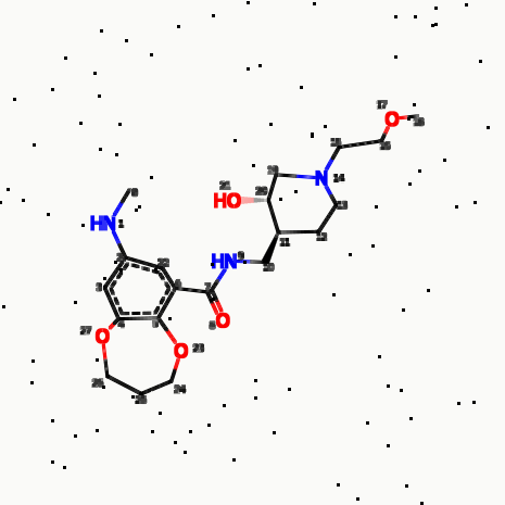 CNc1cc2c(c(C(=O)NC[C@@H]3CCN(CCOC)C[C@H]3O)c1)OCCCO2